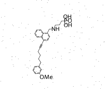 COc1cccc(CCCCC#Cc2ccc(CNCCCP(=O)(O)O)c3ccccc23)c1